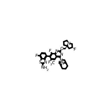 Nc1nc2c(-c3c(C(F)(F)F)cc4c(N5CC6CCCC(C5)N6)nc(OC[C@@]56CCCN5C[C@H](F)C6)nc4c3F)ccc(F)c2s1